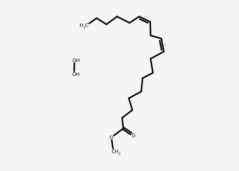 CCCCC/C=C\C/C=C\CCCCCCCC(=O)OC.OO